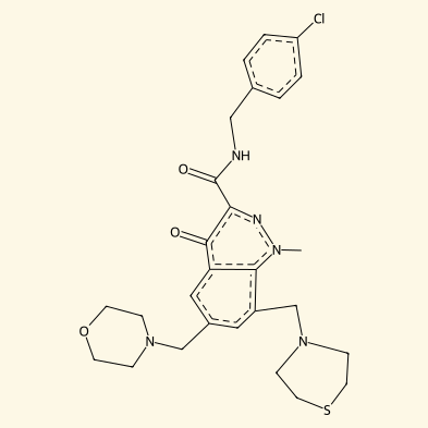 Cn1nc(C(=O)NCc2ccc(Cl)cc2)c(=O)c2cc(CN3CCOCC3)cc(CN3CCSCC3)c21